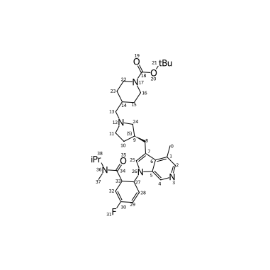 Cc1cncc2c1c(C[C@H]1CCN(CC3CCN(C(=O)OC(C)(C)C)CC3)C1)cn2C1C=CC(F)=CC1C(=O)N(C)C(C)C